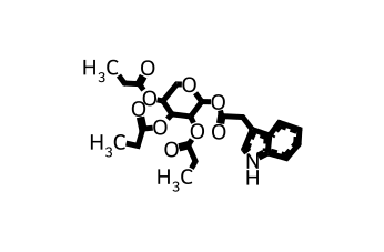 CCC(=O)OC1COC(OC(=O)Cc2c[nH]c3ccccc23)C(OC(=O)CC)C1OC(=O)CC